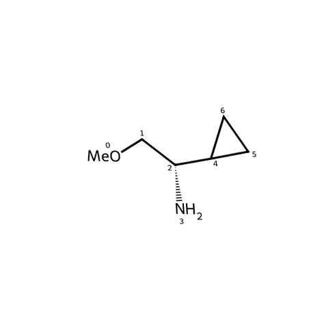 COC[C@@H](N)C1CC1